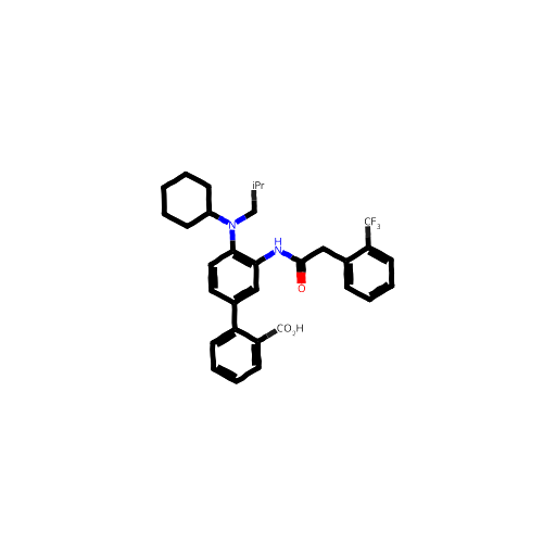 CC(C)CN(c1ccc(-c2ccccc2C(=O)O)cc1NC(=O)Cc1ccccc1C(F)(F)F)C1CCCCC1